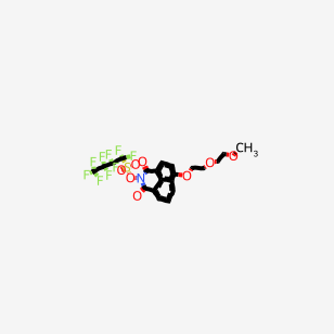 COCCOCCOc1ccc2c3c(cccc13)C(=O)N(OS(=O)(=O)C(F)(F)C(F)(F)C(F)(F)C(F)(F)F)C2=O